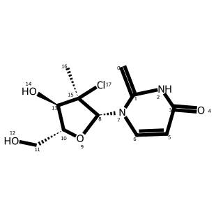 C=C1NC(=O)C=CN1[C@@H]1O[C@H](CO)[C@@H](O)[C@@]1(C)Cl